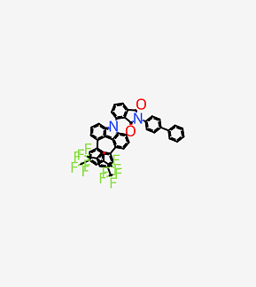 O=C1c2cccc(-n3c4cccc(-c5cc(C(F)(F)F)cc(C(F)(F)F)c5)c4c4c(-c5cc(C(F)(F)F)cc(C(F)(F)F)c5)cccc43)c2C(=O)N1c1ccc(-c2ccccc2)cc1